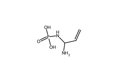 C=CC(N)NP(=O)(O)O